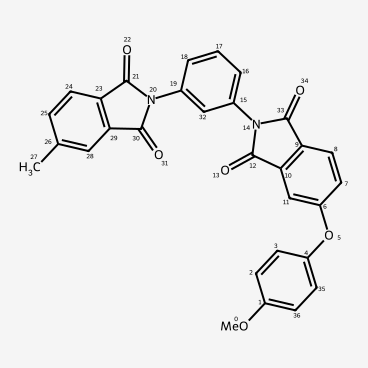 COc1ccc(Oc2ccc3c(c2)C(=O)N(c2cccc(N4C(=O)c5ccc(C)cc5C4=O)c2)C3=O)cc1